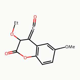 CCOC1C(=O)Oc2ccc(OC)cc2C1=C=O